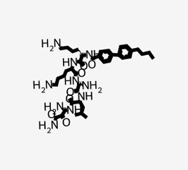 CCCCc1ccc(-c2ccc(C(=O)N[C@@H](CCCCN)C(=O)NC(CCCCN)C(=O)N[C@@H](N)C(=O)NC(CC(C)C)C(=O)N[C@@H](N)C(=O)C(N)=O)cc2)cc1